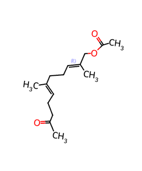 CC(=O)CCC=C(C)CC/C=C(\C)COC(C)=O